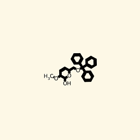 COC1C=CC(COC(c2ccccc2)(c2ccccc2)c2ccccc2)OC1O